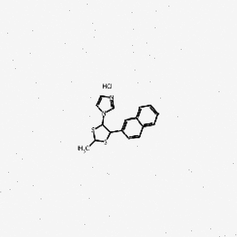 CC1SC(c2ccc3ccccc3c2)C(n2ccnc2)S1.Cl